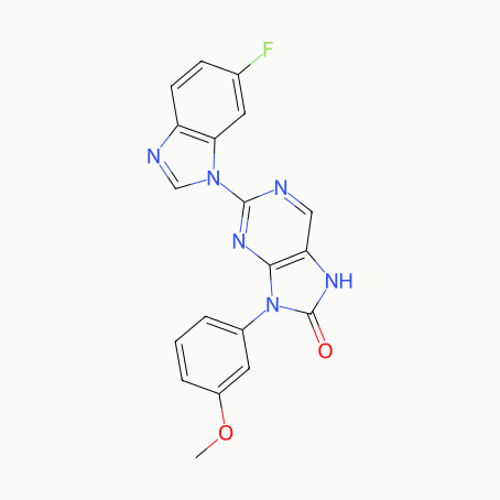 COc1cccc(-n2c(=O)[nH]c3cnc(-n4cnc5ccc(F)cc54)nc32)c1